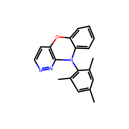 Cc1cc(C)c(N2c3ccccc3Oc3ccnnc32)c(C)c1